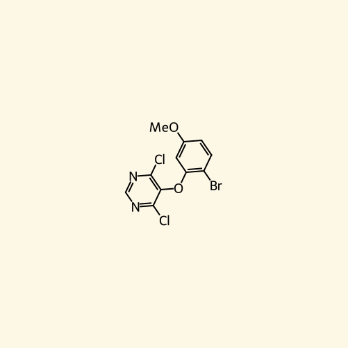 COc1ccc(Br)c(Oc2c(Cl)ncnc2Cl)c1